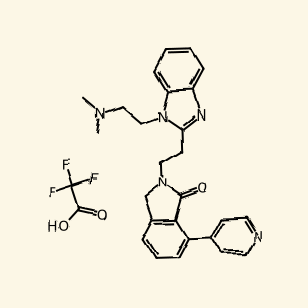 CN(C)CCn1c(CCN2Cc3cccc(-c4ccncc4)c3C2=O)nc2ccccc21.O=C(O)C(F)(F)F